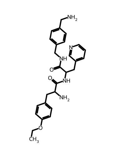 CCOc1ccc(CC(N)C(=O)NC(Cc2cccnc2)C(=O)NCc2ccc(CN)cc2)cc1